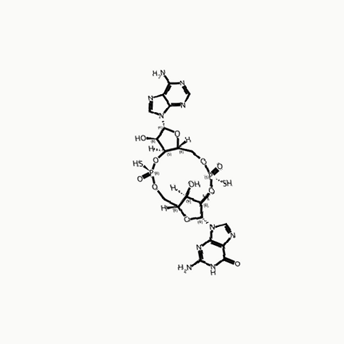 Nc1nc2c(ncn2[C@@H]2O[C@@H]3CO[P@@](=O)(S)O[C@H]4[C@@H](O)[C@H](n5cnc6c(N)ncnc65)O[C@@H]4CO[P@](=O)(S)O[C@@H]2[C@@H]3O)c(=O)[nH]1